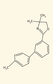 Cc1ccc(-c2cccc(C3=NC(C)(C)CO3)c2)cc1